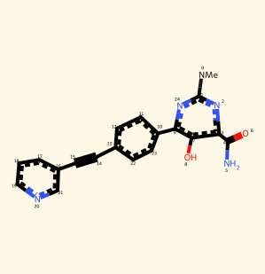 CNc1nc(C(N)=O)c(O)c(-c2ccc(C#Cc3cccnc3)cc2)n1